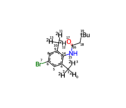 [2H]C([2H])([2H])c1cc(Br)cc(C([2H])([2H])[2H])c1NC(=O)CC(C)(C)C